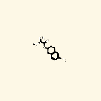 Cc1ccc2c(c1)CCC(OC(=O)N(C)C)C2